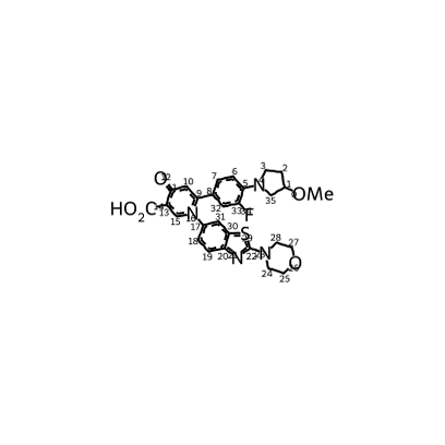 COC1CCN(c2ccc(-c3cc(=O)c(C(=O)O)cn3-c3ccc4nc(N5CCOCC5)sc4c3)cc2F)C1